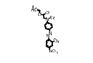 CCN(CC(=O)OCC(C)=O)c1ccc(/N=N/c2ccc([N+](=O)[O-])cc2C#N)cc1